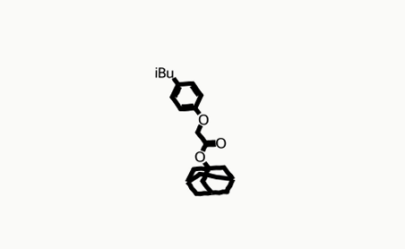 CCC(C)c1ccc(OCC(=O)OC23CC4CC(CC(C4)C2)C3)cc1